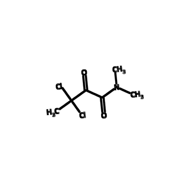 CN(C)C(=O)C(=O)C(C)(Cl)Cl